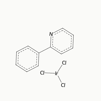 [Cl][Ir]([Cl])[Cl].c1ccc(-c2ccccn2)cc1